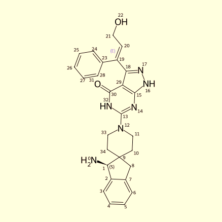 N[C@@H]1c2ccccc2CC12CCN(c1nc3[nH]nc(/C(=C/CO)c4ccccc4)c3c(=O)[nH]1)CC2